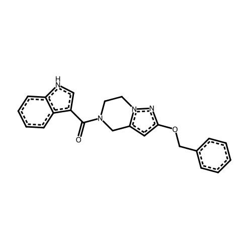 O=C(c1c[nH]c2ccccc12)N1CCn2nc(OCc3ccccc3)cc2C1